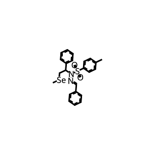 C[Se]CC(c1ccccc1)N(N=Cc1ccccc1)S(=O)(=O)c1ccc(C)cc1